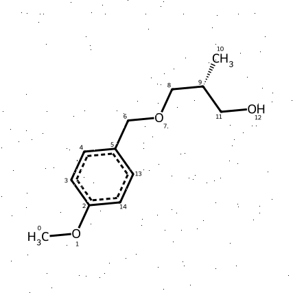 COc1ccc(COC[C@H](C)CO)cc1